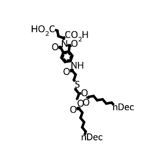 CCCCCCCCCCCCCCCC(=O)OCC(CSCCC(=O)Nc1ccc2c(c1)C(=O)N(C(CCC(=O)O)C(=O)O)C2=O)OC(=O)CCCCCCCCCCCCCCC